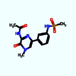 CC(=O)Nc1nc(-c2cccc(NS(C)(=O)=O)c2)cn(C)c1=O